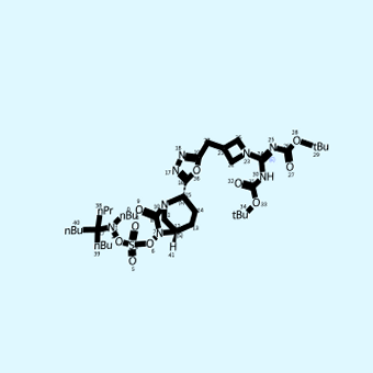 CCCCN(OS(=O)(=O)ON1C(=O)N2C[C@@H]1CC[C@H]2c1nnc(CC2CN(/C(=N/C(=O)OC(C)(C)C)NC(=O)OC(C)(C)C)C2)o1)C(CCC)(CCCC)CCCC